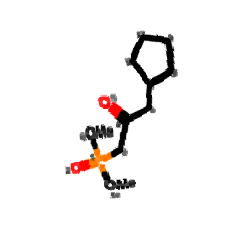 COP(=O)(CC(=O)CC1CCCC1)OC